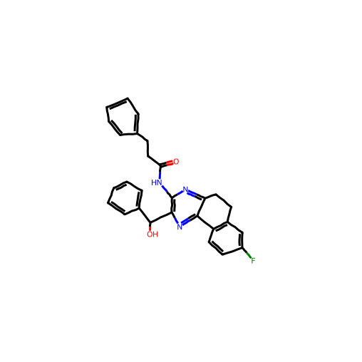 O=C(CCc1ccccc1)Nc1nc2c(nc1C(O)c1ccccc1)-c1ccc(F)cc1CC2